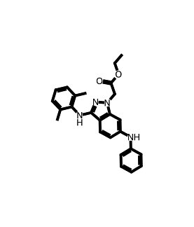 CCOC(=O)Cn1nc(Nc2c(C)cccc2C)c2ccc(Nc3ccccc3)cc21